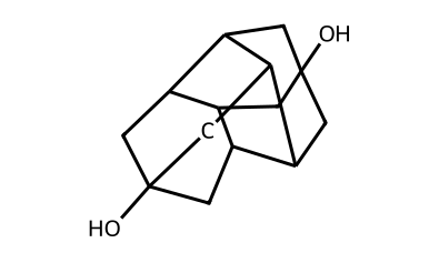 OC12CC3C4CC5(O)CC3C(C1)C(C5)C4C2